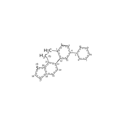 Cc1ccc(-c2ccccc2)cc1-c1ccc2ccsc2c1C